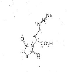 [N-]=[N+]=NCCC(C(=O)O)N1C(=O)CCC1=O